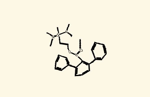 COB(OCC[Si](C)(N(C)C)N(C)C)c1c(-c2ccccc2)cccc1-c1ccccc1